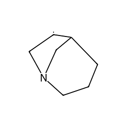 [CH]1CN2CCCC1C2